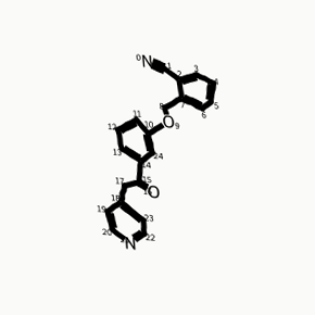 N#Cc1ccccc1COc1cccc(C(=O)Cc2ccncc2)c1